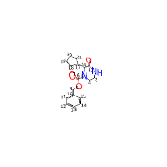 O=C1NCCN(C(=O)OCc2ccccc2)C1C1CCCC1